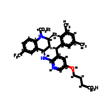 CCOC(=O)N1c2ccc(C(F)(F)F)cc2[C@@H](Nc2ncc(OCCCC(=O)O)cc2Cc2cc(C(F)(F)F)cc(C(F)(F)F)c2)C[C@H]1CC